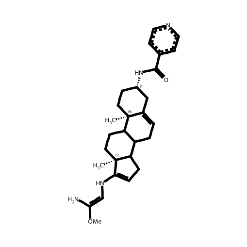 CO/C(N)=C/NC1=CCC2C3CC=C4C[C@@H](NC(=O)c5ccncc5)CC[C@]4(C)C3CC[C@]12C